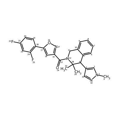 Cn1cc(C2c3ccccc3CN(C(=O)c3cc(-c4ccc(F)cc4F)on3)C2(C)C)cn1